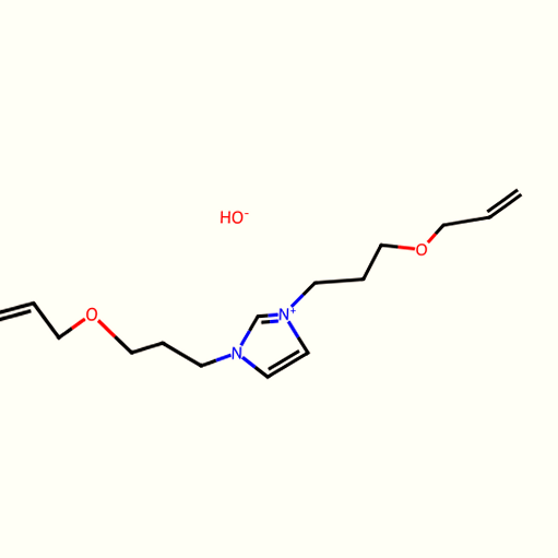 C=CCOCCCn1cc[n+](CCCOCC=C)c1.[OH-]